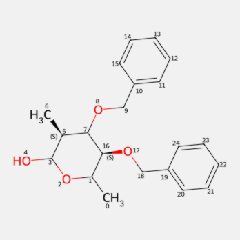 CC1OC(O)[C@@H](C)C(OCc2ccccc2)[C@H]1OCc1ccccc1